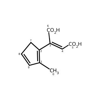 CC1=C(C(=CC(=O)O)C(=O)O)CC=C1